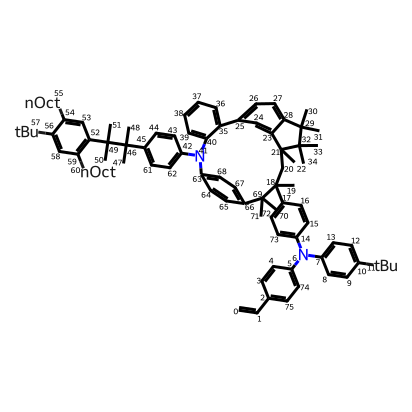 C=Cc1ccc(N(c2ccc(C(C)(C)C)cc2)c2ccc(C3(C)CC4(C)c5cc(ccc5C(C)(C)C4(C)C)-c4ccccc4N(c4ccc(C(C)(C)C(C)(C)c5cc(CCCCCCCC)c(C(C)(C)C)cc5CCCCCCCC)cc4)c4ccc(cc4)C3(C)C)cc2)cc1